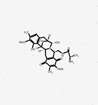 COC1=C(C)C(=O)C2=C(C1=O)[C@H](CNC(=O)[C@@H](C)N)N1[C@@H](O)[C@H]3Cc4cc(C)c(OC)c(O)c4[C@@H]([C@@H]1C2)N3C